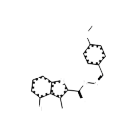 COc1ccc(/C=N\NC(=O)c2[nH]c3cccc(Cl)c3c2C)cc1